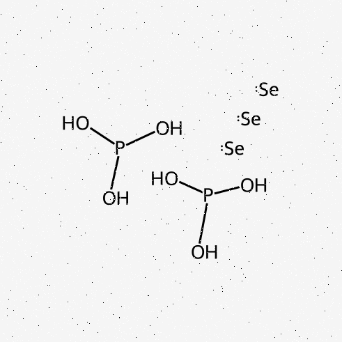 OP(O)O.OP(O)O.[Se].[Se].[Se]